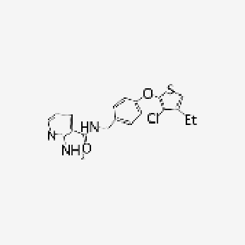 CCc1csc(Oc2ccc(CNC(=O)c3cccnc3N)cc2)c1Cl